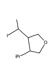 CC(C)C1COCC1C(C)I